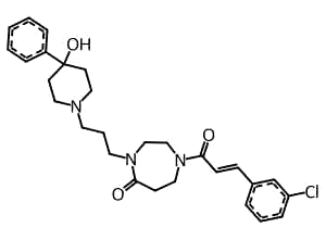 O=C(C=Cc1cccc(Cl)c1)N1CCC(=O)N(CCCN2CCC(O)(c3ccccc3)CC2)CC1